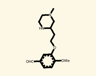 COc1ccc(C=O)cc1OCCC1CN(C)CCN1